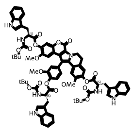 COc1cc(-c2c3n(c4c(=O)oc5cc(OC(=O)[C@H](Cc6c[nH]c7ccccc67)NC(=O)OC(C)(C)C)c(OC)cc5c24)CCc2cc(OC(=O)[C@H](Cc4c[nH]c5ccccc45)NC(=O)OC(C)(C)C)c(OC)cc2-3)ccc1OC(=O)[C@H](Cc1c[nH]c2ccccc12)NC(=O)OC(C)(C)C